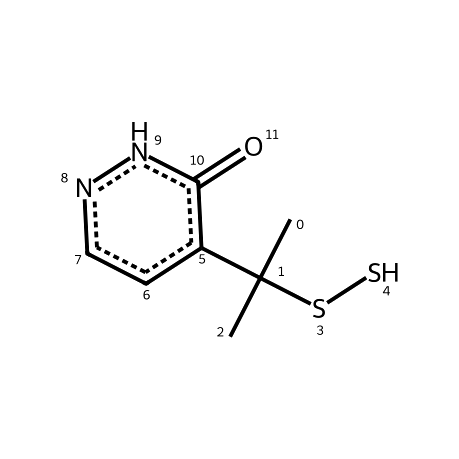 CC(C)(SS)c1ccn[nH]c1=O